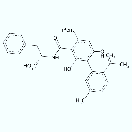 C=C(C)c1ccc(C)cc1-c1c(O)cc(CCCCC)c(C(=O)N[C@@H](Cc2ccccc2)C(=O)O)c1O